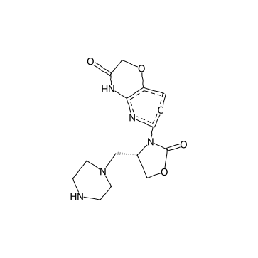 O=C1COc2ccc(N3C(=O)OC[C@@H]3CN3CCNCC3)nc2N1